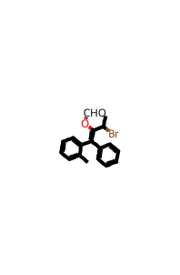 Cc1ccccc1/C(=C(\OC=O)C(C)Br)c1ccccc1